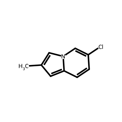 Cc1cc2ccc(Cl)cn2c1